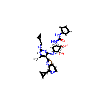 Cc1nc(NCC2CC2)nc(N[C@@H]2C[C@H](NC(=O)NC3CCCC3)[C@@H](O)[C@H]2O)c1-c1nc2c(C3CC3)nccc2s1